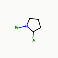 BrC1CCCN1Br